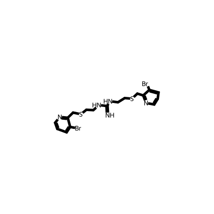 N=C(NCCSCc1ncccc1Br)NCCSCc1ncccc1Br